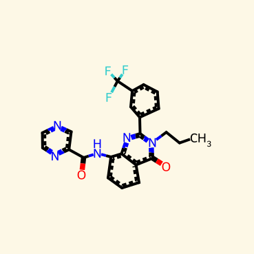 CCCn1c(-c2cccc(C(F)(F)F)c2)nc2c(NC(=O)c3cnccn3)cccc2c1=O